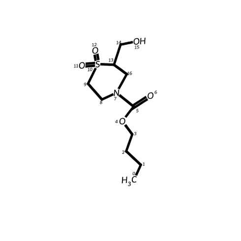 CCCCOC(=O)N1CCS(=O)(=O)C(CO)C1